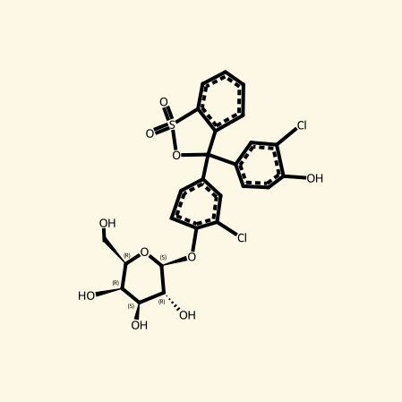 O=S1(=O)OC(c2ccc(O)c(Cl)c2)(c2ccc(O[C@@H]3O[C@H](CO)[C@H](O)[C@H](O)[C@H]3O)c(Cl)c2)c2ccccc21